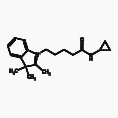 CC1=[N+](CCCCC(=O)NC2CC2)c2ccccc2C1(C)C